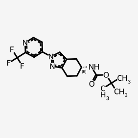 CC(C)(C)OC(=O)N[C@@H]1CCc2nn(-c3ccnc(C(F)(F)F)c3)cc2C1